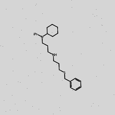 CC(C)N(CCCNCCCSCc1ccccc1)C1CCCCC1